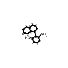 O=[N+]([O-])c1cccc(O)c1-c1cccc2ccccc12